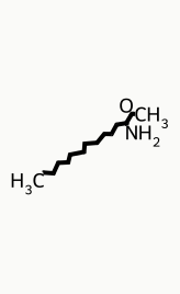 CCCCCCCCCCCCC(N)C(C)=O